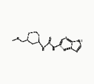 COCC1CCCC(NC(=O)Nc2cnc3[nH]ccc3n2)C1